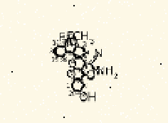 COc1ccc(C2C(C#N)=C(N)Oc3c2c(=O)oc2ccc(O)cc32)cc1-c1ccccc1C(F)(F)F